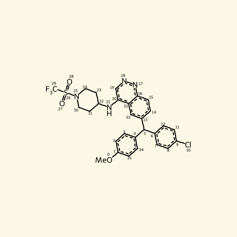 COc1ccc(C(c2ccc(Cl)cc2)c2ccc3nncc(NC4CCN(S(=O)(=O)C(F)(F)F)CC4)c3c2)cc1